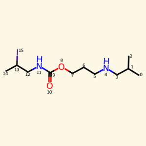 CC(C)CNCCCOC(=O)NCC(C)I